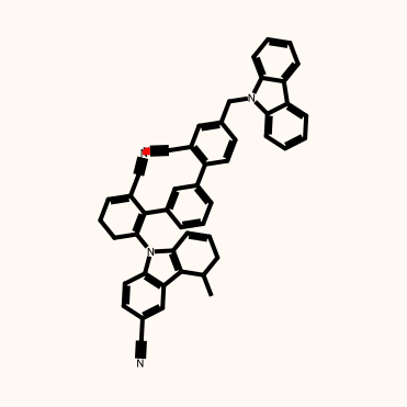 CC1CC=Cc2c1c1cc(C#N)ccc1n2C1=C(c2cccc(-c3ccc(Cn4c5ccccc5c5ccccc54)cc3C#N)c2)C(C#N)=CCC1